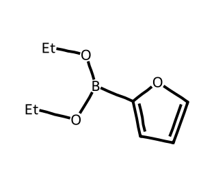 CCOB(OCC)c1ccco1